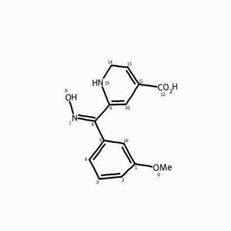 COc1cccc(/C(=N/O)C2=CC(C(=O)O)=CCN2)c1